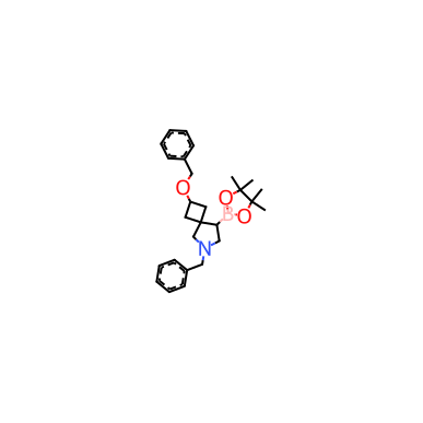 CC1(C)OB(C2CN(Cc3ccccc3)CC23CC(OCc2ccccc2)C3)OC1(C)C